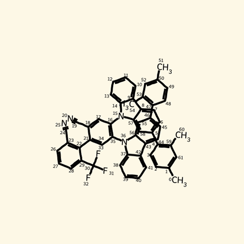 Cc1ccc(-c2ccc3c4ccccc4n(-c4cc(C#N)c(-c5c(C#N)cccc5C(F)(F)F)cc4-n4c5ccccc5c5ccc(-c6ccc(C)cc6C)cc54)c3c2)c(C)c1